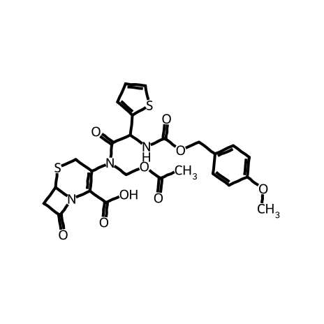 COc1ccc(COC(=O)NC(C(=O)N(COC(C)=O)C2=C(C(=O)O)N3C(=O)CC3SC2)c2cccs2)cc1